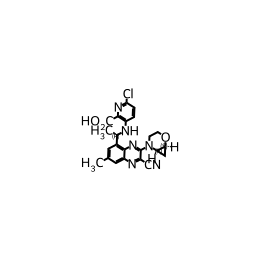 Cc1cc([C@@H](C)Nc2ccc(Cl)nc2C(=O)O)c2nc(N3CCO[C@H]4C[C@H]43)c(C#N)nc2c1